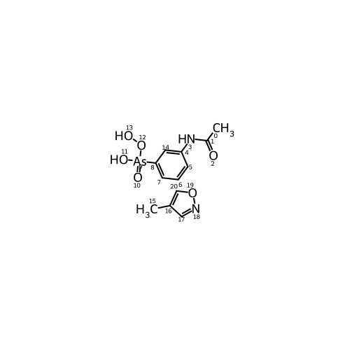 CC(=O)Nc1cccc([As](=O)(O)OO)c1.Cc1cnoc1